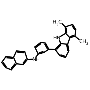 Cc1ccc(C)c2c1[nH]c1c(-c3cccc(Nc4ccc5ccccc5c4)c3)cccc12